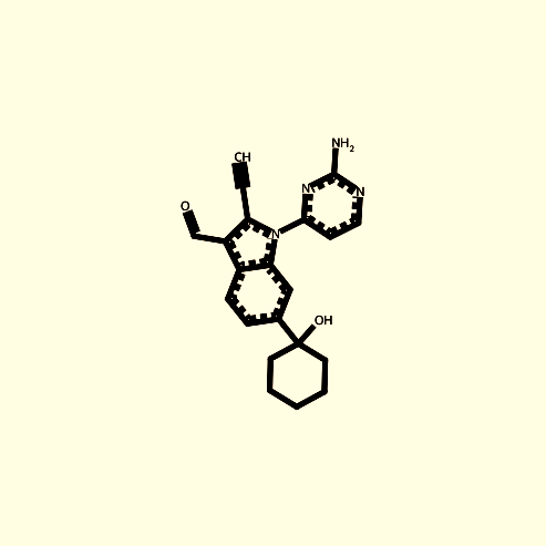 C#Cc1c(C=O)c2ccc(C3(O)CCCCC3)cc2n1-c1ccnc(N)n1